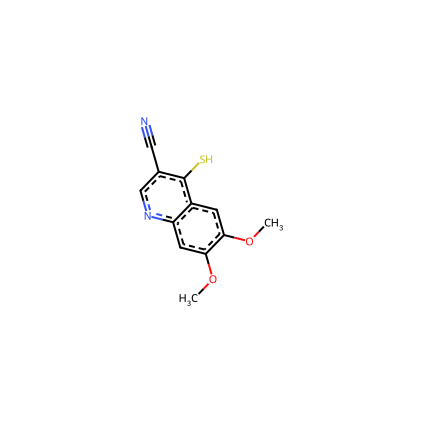 COc1cc2ncc(C#N)c(S)c2cc1OC